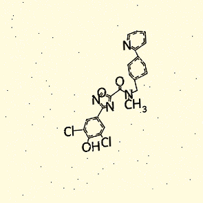 CN(Cc1ccc(-c2ccccn2)cc1)C(=O)c1nc(-c2cc(Cl)c(O)c(Cl)c2)no1